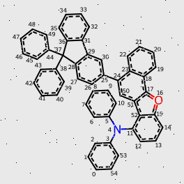 c1ccc(N(c2ccccc2)c2cccc3oc4c5ccccc5c(-c5ccc6c(c5)-c5ccccc5C6(c5ccccc5)c5ccccc5)cc4c23)cc1